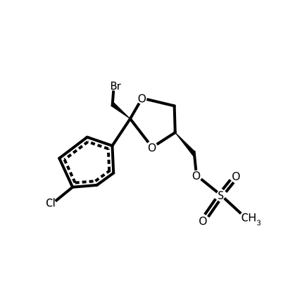 CS(=O)(=O)OC[C@@H]1CO[C@@](CBr)(c2ccc(Cl)cc2)O1